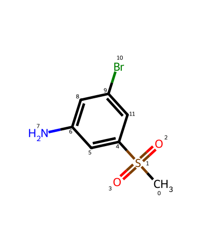 CS(=O)(=O)c1cc(N)cc(Br)c1